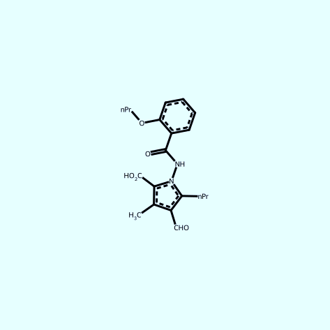 CCCOc1ccccc1C(=O)Nn1c(CCC)c(C=O)c(C)c1C(=O)O